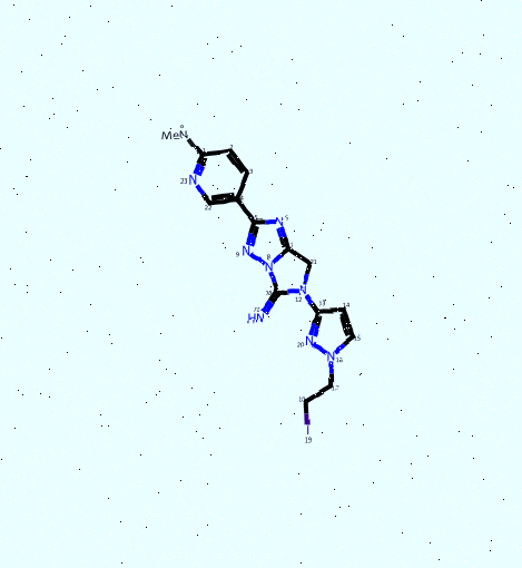 CNc1ccc(-c2nc3n(n2)C(=N)N(c2ccn(CCI)n2)C3)cn1